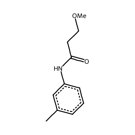 COCCC(=O)Nc1cccc(C)c1